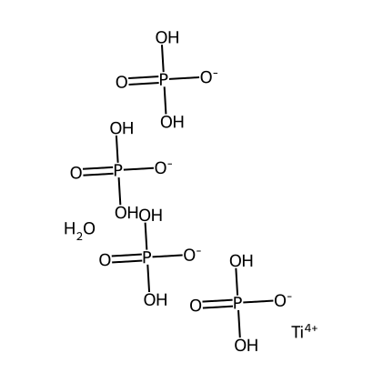 O.O=P([O-])(O)O.O=P([O-])(O)O.O=P([O-])(O)O.O=P([O-])(O)O.[Ti+4]